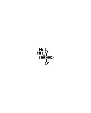 O=S(=O)([O-])[O-].[Hg+].[NH4+]